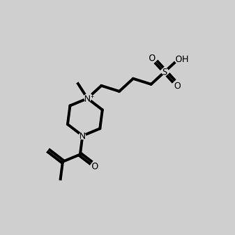 C=C(C)C(=O)N1CC[N+](C)(CCCCS(=O)(=O)O)CC1